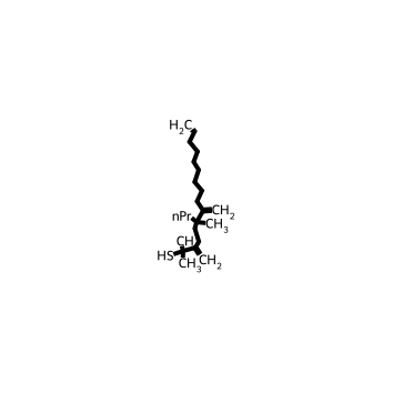 C=CCCCCCCCC(=C)C(C)(CCC)CCC(=C)C(C)(C)S